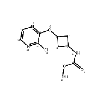 CC(C)(C)OC(=O)NC1CC(Oc2nccnc2Cl)C1